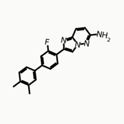 Cc1ccc(-c2ccc(-c3cn4nc(N)ccc4n3)c(F)c2)cc1C